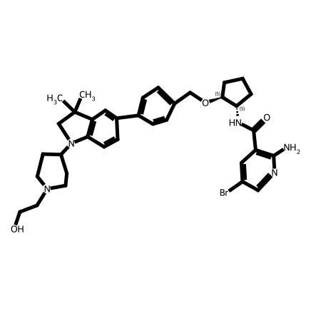 CC1(C)CN(C2CCN(CCO)CC2)c2ccc(-c3ccc(CO[C@H]4CCC[C@@H]4NC(=O)c4cc(Br)cnc4N)cc3)cc21